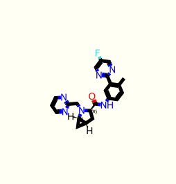 Cc1ccc(NC(=O)[C@H]2C[C@H]3C[C@H]3N2Cc2ncccn2)cc1-c1ncc(F)cn1